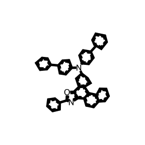 c1ccc(-c2ccc(N(c3ccc(-c4ccccc4)cc3)c3ccc4c(c3)c3oc(-c5ccccc5)nc3c3ccc5ccccc5c43)cc2)cc1